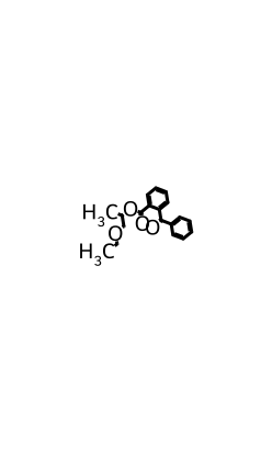 CCOCC(C)OC(=O)c1ccccc1C(=O)c1ccccc1